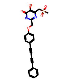 CS(=O)(=O)Cc1nc(COc2ccc(C#CC#Cc3ccccc3)cc2)[nH]c(=O)c1O